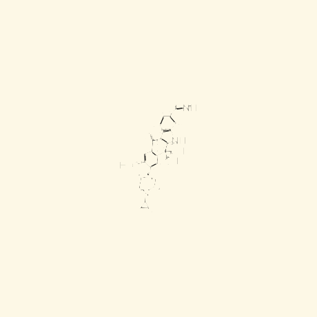 Cc1cc2c(cc1N1CCN(C3CC3)CC1)C(C)(C)c1[nH]c3cc(C=N)ccc3c1C2=O